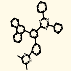 Cc1cc(C)nc(-c2cccc(-c3cc(-c4nc(-c5ccccc5)nc(-c5ccccc5)n4)cc(-c4cc5ccccc5c5ccccc45)c3)c2)n1